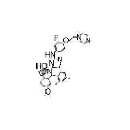 COc1ccc(OC)c(C(c2c(C)cc(C)cc2C)N(C(=O)O)c2ccnc(Nc3ccc(OCCN4CCN(C)CC4)c(F)c3)n2)c1